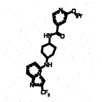 CC(C)Oc1cc(C(=O)NC2CCC(Nc3cccc4nc(C(F)(F)F)cn34)CC2)ccn1